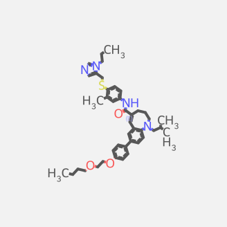 CCCCOCCOc1ccc(-c2ccc3c(c2)/C=C(/C(=O)Nc2ccc(SCc4cncn4CCC)c(C)c2)CCCN3CC(C)C)cc1